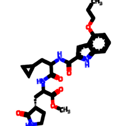 CCCOc1cccc2[nH]c(C(=O)NC(CC3CC3)C(=O)NC(C[C@@H]3CCNC3=O)C(=O)OC)cc12